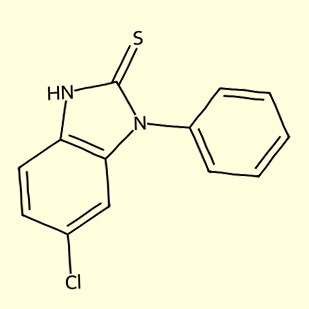 S=c1[nH]c2ccc(Cl)cc2n1-c1ccccc1